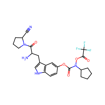 N#CC1CCCN1C(=O)C(N)Cc1c[nH]c2ccc(OC(=O)N(OC(=O)C(F)(F)F)C3CCCC3)cc12